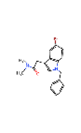 CN(C)C(=O)Cc1cn(Cc2ccccc2)c2ccc(Br)cc12